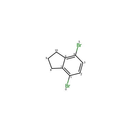 Brc1[c]cc(Br)c2c1CCC2